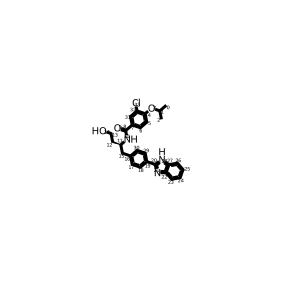 CC(C)Oc1ccc(C(=O)N[C@H](CCO)Cc2ccc(-c3nc4ccccc4[nH]3)cc2)cc1Cl